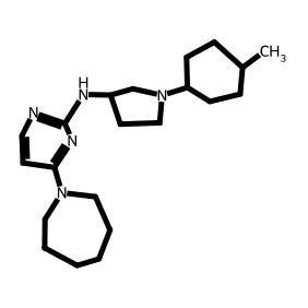 CC1CCC(N2CCC(Nc3nccc(N4CCCCCC4)n3)C2)CC1